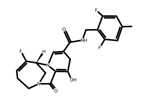 Cc1cc(F)c(CNC(=O)C2=CN3C(=C(O)C2)C(=O)N2CCC=C(F)[C@H]3C2)c(F)c1